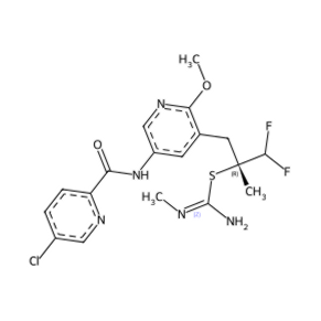 C/N=C(/N)S[C@](C)(Cc1cc(NC(=O)c2ccc(Cl)cn2)cnc1OC)C(F)F